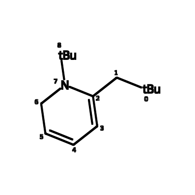 CC(C)(C)CC1=CC=CCN1C(C)(C)C